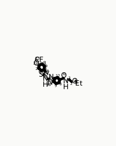 CCOCCNC(=O)c1ccc2c(c1)nc(Nc1nc3ccc(OC(F)(F)F)cc3s1)n2C